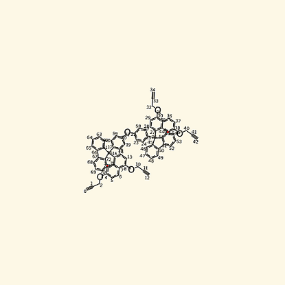 C#CCOc1ccc2c(OCC#C)ccc(C3(c4ccc(Oc5ccc(C6(c7ccc(OCC#C)c8ccc(OCC#C)cc78)c7ccccc7-c7ccccc76)cc5)cc4)c4ccccc4-c4ccccc43)c2c1